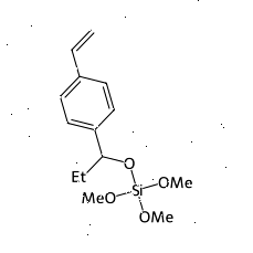 C=Cc1ccc(C(CC)O[Si](OC)(OC)OC)cc1